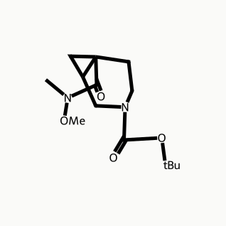 CON(C)C(=O)C12CCN(C(=O)OC(C)(C)C)CC1C2